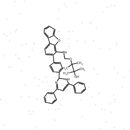 CC(C)(O)C(C)(C)OCBc1c(-c2ccc(C3N=C(c4ccccc4)C=C(c4ccccc4)N3)cc2)ccc2c1oc1ccccc12